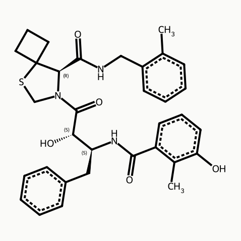 Cc1ccccc1CNC(=O)[C@H]1N(C(=O)[C@@H](O)[C@H](Cc2ccccc2)NC(=O)c2cccc(O)c2C)CSC12CCC2